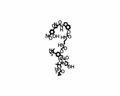 Cc1ncsc1-c1ccc(CNC(=O)[C@@H]2C[C@@H](O)CN2C(=O)C(CNC(=O)C2(F)CC2)C(C)(C)C)c(OCC(=O)NCCCNC(=O)COc2ccc3c(c2)[C@H](NC(=O)c2cc(-c4ccc(C(=O)N(C)C)c(O)c4)on2)CC3)c1